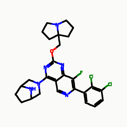 Fc1c(-c2cccc(Cl)c2Cl)ncc2c(N3CC4CCC(C3)N4)nc(OCC34CCCN3CCC4)nc12